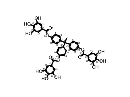 CC(c1ccc(OC(=O)c2cc(O)c(O)c(O)c2)cc1)(c1ccc(OC(=O)c2cc(O)c(O)c(O)c2)cc1)C1C=CC(OC(=O)c2cc(O)c(O)c(O)c2)=CC1